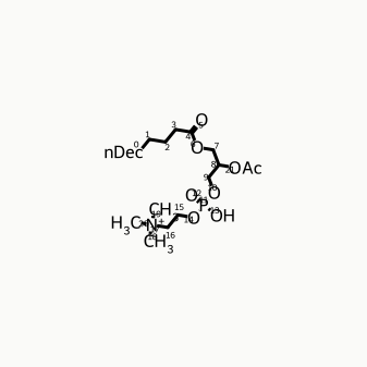 CCCCCCCCCCCCCC(=O)OCC(COP(=O)(O)OCC[N+](C)(C)C)OC(C)=O